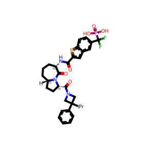 CC(C)C1(c2ccccc2)CN(C(=O)[C@@H]2CC[C@@H]3CCC[C@H](NC(=O)c4cc5cc(C(F)(F)P(=O)(O)O)ccc5s4)C(=O)N32)C1